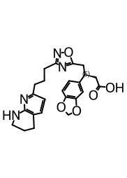 O=C(O)C[C@H](Cc1nc(CCCc2ccc3c(n2)NCCC3)no1)c1ccc2c(c1)OCO2